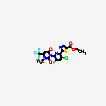 CCOC(=O)c1cnc(-c2nc(-n3c(=O)cc(C(F)(F)F)n(C)c3=O)c(F)cc2Cl)s1